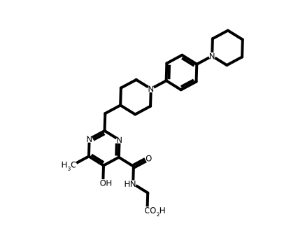 Cc1nc(CC2CCN(c3ccc(N4CCCCC4)cc3)CC2)nc(C(=O)NCC(=O)O)c1O